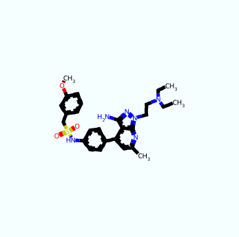 CCN(CC)CCn1nc(N)c2c(-c3ccc(NS(=O)(=O)Cc4cccc(OC)c4)cc3)cc(C)nc21